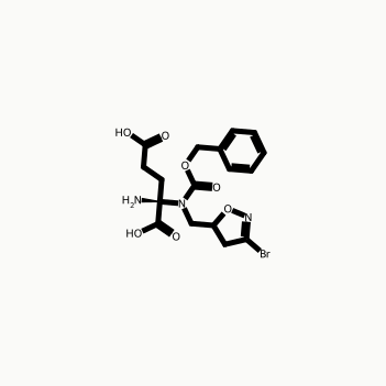 N[C@](CCC(=O)O)(C(=O)O)N(CC1CC(Br)=NO1)C(=O)OCc1ccccc1